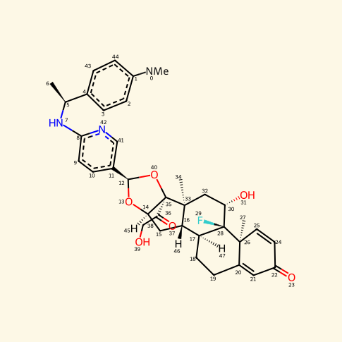 CNc1ccc([C@H](C)Nc2ccc([C@@H]3O[C@@H]4C[C@H]5[C@@H]6CCC7=CC(=O)C=C[C@]7(C)[C@@]6(F)[C@@H](O)C[C@]5(C)[C@]4(C(=O)CO)O3)cn2)cc1